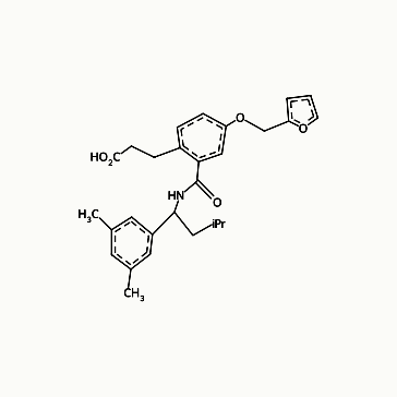 Cc1cc(C)cc(C(CC(C)C)NC(=O)c2cc(OCc3ccco3)ccc2CCC(=O)O)c1